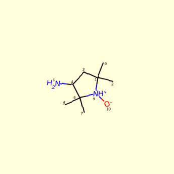 CC1(C)CC(N)C(C)(C)[NH+]1[O-]